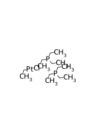 CCP(CC)CC.CCP(CC)CC.C[CH2][Pt][Cl]